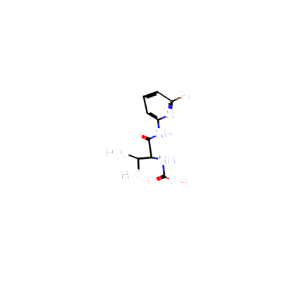 CC(C)C(NC(=O)O)C(=O)Nc1cccc(Br)n1